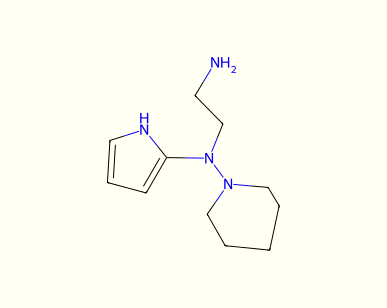 NCCN(c1ccc[nH]1)N1CCCCC1